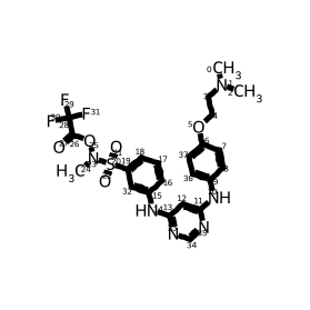 CN(C)CCOc1ccc(Nc2cc(Nc3cccc(S(=O)(=O)N(C)OC(=O)C(F)(F)F)c3)ncn2)cc1